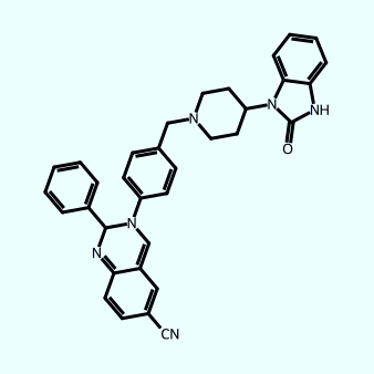 N#Cc1ccc2c(c1)=CN(c1ccc(CN3CCC(n4c(=O)[nH]c5ccccc54)CC3)cc1)C(c1ccccc1)N=2